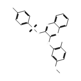 COc1ccc(Cl)c(Nc2nc3ccccc3nc2NS(=O)(=O)c2ccc(C)cc2)c1